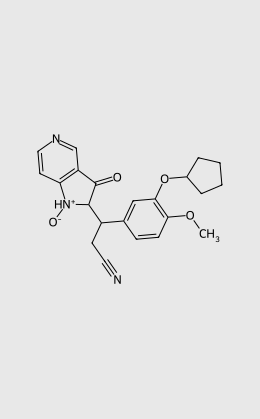 COc1ccc(C(CC#N)C2C(=O)c3cnccc3[NH+]2[O-])cc1OC1CCCC1